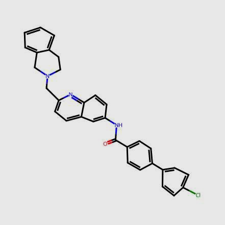 O=C(Nc1ccc2nc(CN3CCc4ccccc4C3)ccc2c1)c1ccc(-c2ccc(Cl)cc2)cc1